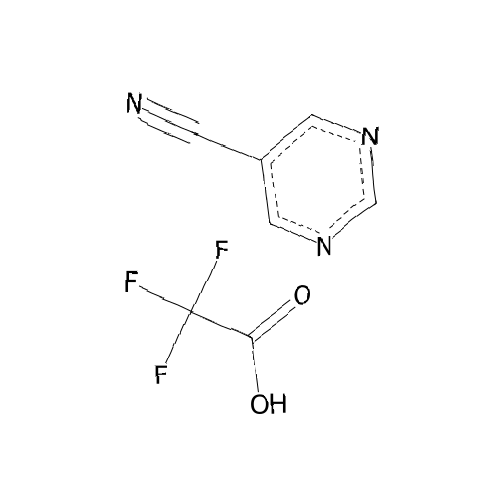 N#Cc1cncnc1.O=C(O)C(F)(F)F